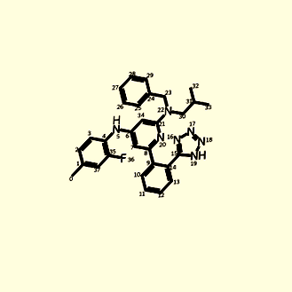 Cc1ccc(Nc2cc(-c3ccccc3-c3nnn[nH]3)nc(N(Cc3ccccc3)CC(C)C)c2)c(F)c1